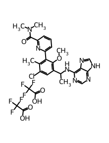 COc1c(C(C)Nc2ncnc3[nH]cnc23)cc(Cl)c(C)c1-c1cccc(C(=O)N(C)C)n1.O=C(O)C(F)(F)F.O=C(O)C(F)(F)F